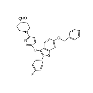 O=CC1CCN(c2ccc(Oc3c(-c4ccc(F)cc4)sc4cc(OCc5ccccc5)ccc34)cn2)CC1